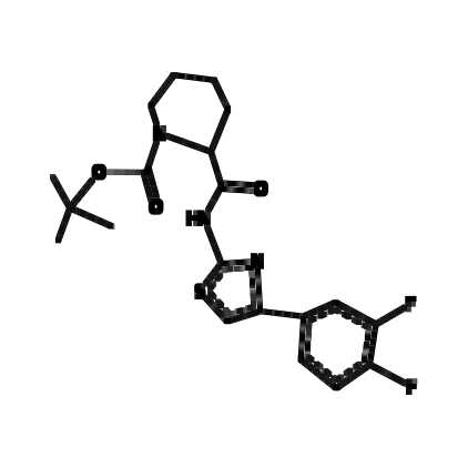 CC(C)(C)OC(=O)N1CCCCC1C(=O)Nc1nc(-c2ccc(F)c(F)c2)cs1